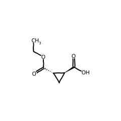 CCOC(=O)[C@H]1C[C@@H]1C(=O)O